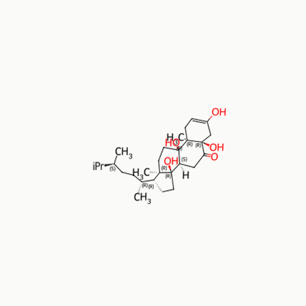 CC(C)[C@@H](C)CC[C@@H](C)[C@H]1CC[C@@]2(O)[C@@H]3CC(=O)[C@@]4(O)CC(O)=CC[C@]4(C)[C@@]3(O)CC[C@]12C